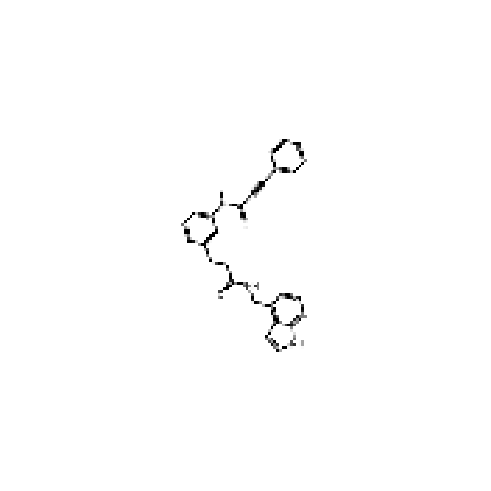 O=C(C#Cc1ccccc1)Nc1cccc(CCC(=O)NCc2ccnc3[nH]ccc23)c1